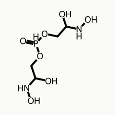 O=[PH](OCC(O)NO)OCC(O)NO